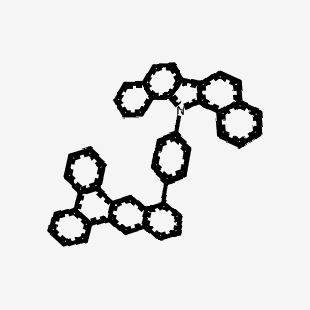 c1cc(-c2ccc(-n3c4c5ccccc5ccc4c4ccc5ccccc5c43)cc2)c2cc3c4ccccc4c4ccccc4c3cc2c1